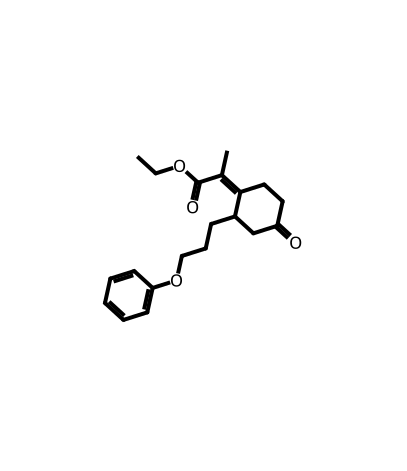 CCOC(=O)C(C)=C1CCC(=O)CC1CCCOc1ccccc1